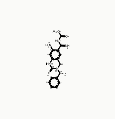 COC(=O)NC(=N)c1cc2c(cc1N)NC(=O)N([C@H](C)c1ccccc1)C2